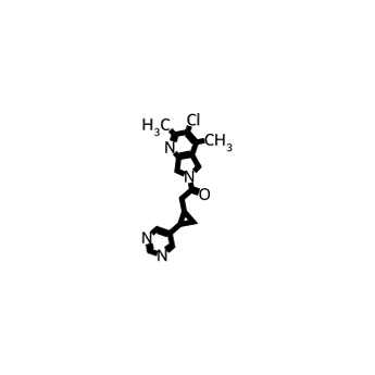 Cc1nc2c(c(C)c1Cl)CN(C(=O)CC1CC1c1cncnc1)C2